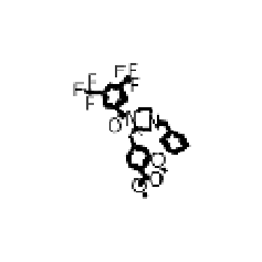 COC(=O)c1ccc(C[C@@H]2CN(Cc3ccccc3)CCN2C(=O)c2cc(C(F)(F)F)cc(C(F)(F)F)c2)cc1OC